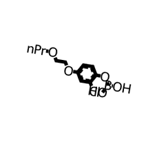 CCCOCCOc1ccc(OB(O)O)c(Cl)c1